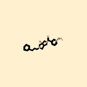 N[n+]1cccc(C(=O)N2CC3CN(CC[CH]c4ccccc4)C[C@H]3C2)c1